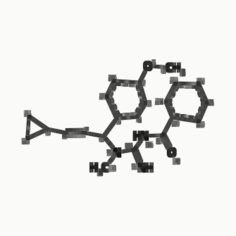 COc1ccc(C(C#CC2CC2)N(C)C(=N)NC(=O)c2ccccc2)cc1